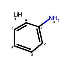 Nc1ccccc1.[LiH]